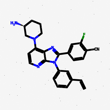 C=Cc1cccc(-n2c(-c3ccc(C#N)c(F)c3)nc3c(N4CCC[C@@H](N)C4)ccnc32)c1